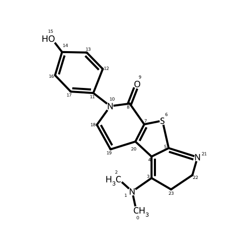 CN(C)C1=c2c(sc3c(=O)n(-c4ccc(O)cc4)ccc23)=NCC1